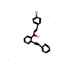 O=C(/C=C/c1ccc(Br)cc1)c1ccccc1C#Cc1ccccc1